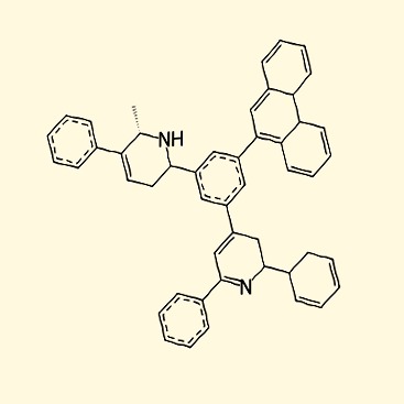 C[C@@H]1NC(c2cc(C3=CC(c4ccccc4)=NC(C4C=CC=CC4)C3)cc(C3=C4C=CC=CC4C4C=CC=CC4=C3)c2)CC=C1c1ccccc1